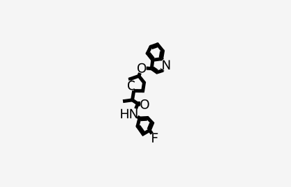 CC(C(=O)Nc1ccc(F)cc1)C1CCC(Oc2ccnc3ccccc23)CC1